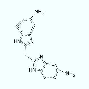 Nc1ccc2[nH]c(Cc3nc4cc(N)ccc4[nH]3)nc2c1